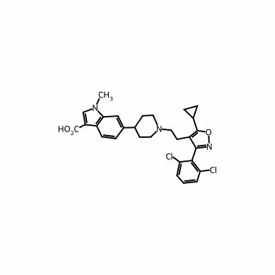 Cn1cc(C(=O)O)c2ccc(C3CCN(CCc4c(-c5c(Cl)cccc5Cl)noc4C4CC4)CC3)cc21